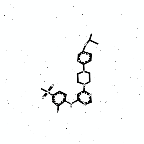 CC(C)Oc1ccc(N2CCN(c3cc(Nc4ccc(S(C)(=O)=O)cc4F)ncn3)CC2)nc1